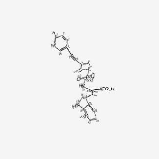 Cc1ccc(C#Cc2ccc(S(=O)(=O)N[C@H](Cc3c[nH]c4ncccc34)C(=O)O)s2)cc1